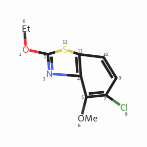 CCOc1nc2c(OC)c(Cl)ccc2s1